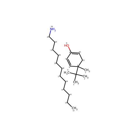 CC(C)(C)C1(C)C=CC(O)=CC1.CCCCCCCCCCCCN